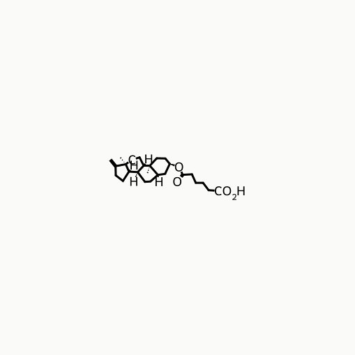 C=C1CC[C@H]2[C@@H]3CC[C@@H]4C[C@H](OC(=O)CCCCC(=O)O)CC[C@]4(C)[C@H]3CC[C@]12C